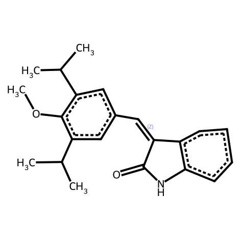 COc1c(C(C)C)cc(/C=C2\C(=O)Nc3ccccc32)cc1C(C)C